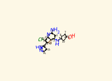 Nc1cc(N[C@H]2CC[C@H](O)C2)c2sc(-c3ccn[nH]3)c(Cl)c2n1